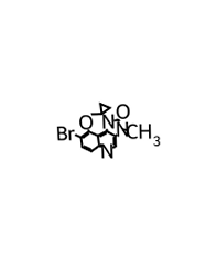 Cn1c(=O)n2c3c4c(c(Br)ccc4ncc31)OCC21CC1